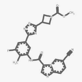 COC(=O)N1CC(c2nc(-c3cc(F)c(C)c(NC(=O)c4cnc5ccc(C#N)cn45)c3)no2)C1